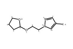 Ic1cnn(CCOC2CCCO2)c1